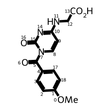 COc1ccc(C(=O)n2ccc(NCC(=O)O)nc2=O)cc1